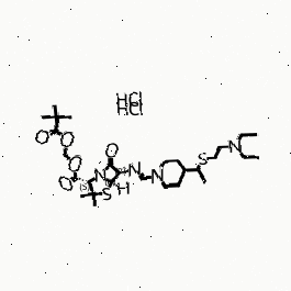 CCN(CC)CCSC(C)C1CCN(C=N[C@@H]2C(=O)N3[C@@H]2SC(C)(C)[C@@H]3C(=O)OCOC(=O)C(C)(C)C)CC1.Cl.Cl